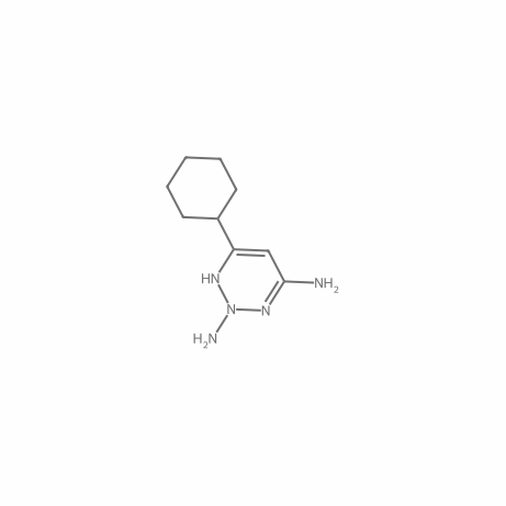 NC1=NN(N)NC(C2CCCCC2)=C1